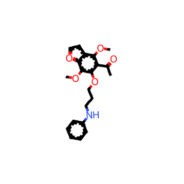 COc1c(C(C)=O)c(OCCCNc2ccccc2)c(OC)c2occc12